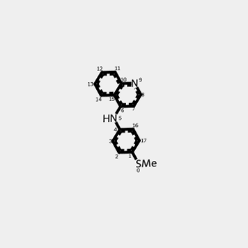 CSc1ccc(Nc2ccnc3ccccc23)cc1